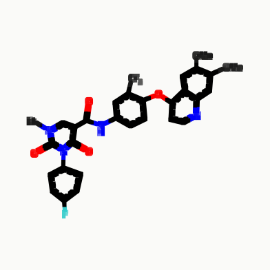 CCn1cc(C(=O)Nc2ccc(Oc3ccnc4cc(OC)c(OC)cc34)c(C(F)(F)F)c2)c(=O)n(-c2ccc(F)cc2)c1=O